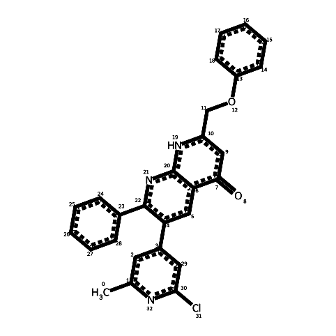 Cc1cc(-c2cc3c(=O)cc(COc4ccccc4)[nH]c3nc2-c2ccccc2)cc(Cl)n1